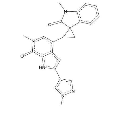 CN1C(=O)C2(CC2c2cn(C)c(=O)c3[nH]c(-c4cnn(C)c4)cc23)c2ccccc21